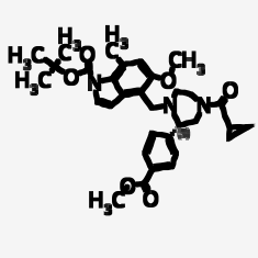 COC(=O)c1ccc([C@H]2CN(C(=O)C3CC3)CCN2Cc2c(OC)cc(C)c3c2ccn3C(=O)OC(C)(C)C)cc1